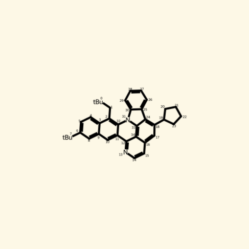 CC(C)(C)Cc1c2ccc(C(C)(C)C)cc2cc2c3nccc4cc(C5CCCC5)c5c6ccccc6n(c12)c5c43